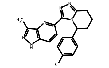 Cc1n[nH]c2ccc(-c3nnc4n3C(c3ccc(Cl)cc3)CCC4)nc12